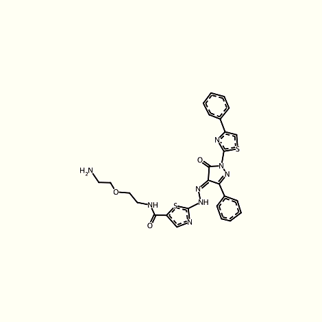 NCCOCCNC(=O)c1cnc(N/N=C2/C(=O)N(c3nc(-c4ccccc4)cs3)N=C2c2ccccc2)s1